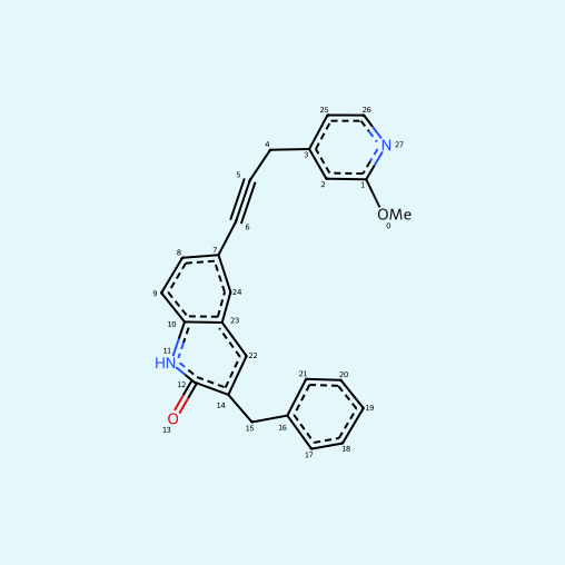 COc1cc(CC#Cc2ccc3[nH]c(=O)c(Cc4ccccc4)cc3c2)ccn1